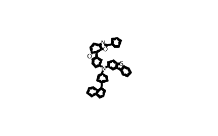 c1ccc(-c2nc3ccc4oc5ccc(N(c6ccc(-c7cccc8ccccc78)cc6)c6ccc7sc8ccccc8c7c6)cc5c4c3o2)cc1